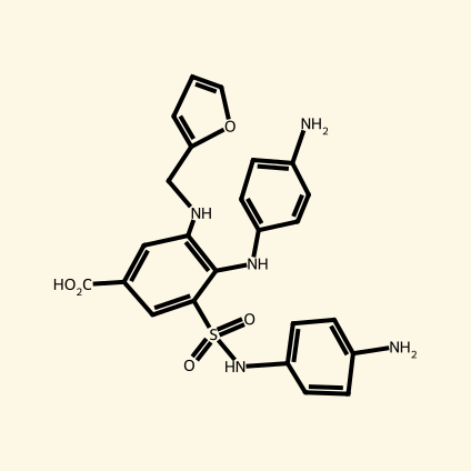 Nc1ccc(Nc2c(NCc3ccco3)cc(C(=O)O)cc2S(=O)(=O)Nc2ccc(N)cc2)cc1